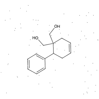 OCC1(CO)CC=CCC1c1ccccc1